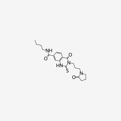 CCCCNC(=O)c1ccc2c(=O)n(CCCN3CCCC3=O)c(=S)[nH]c2c1